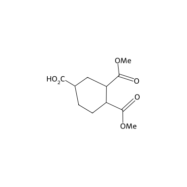 COC(=O)C1CCC(C(=O)O)CC1C(=O)OC